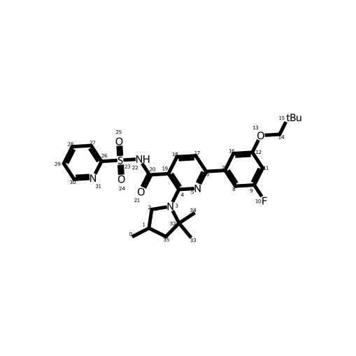 CC1CN(c2nc(-c3cc(F)cc(OCC(C)(C)C)c3)ccc2C(=O)NS(=O)(=O)c2ccccn2)C(C)(C)C1